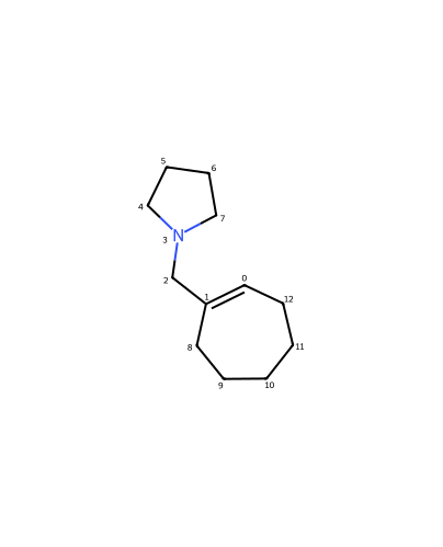 C1=C(CN2CCCC2)CCCCC1